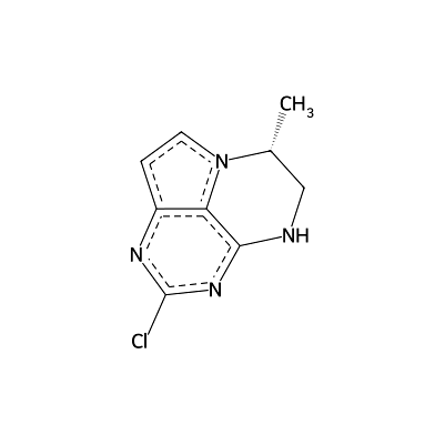 C[C@@H]1CNc2nc(Cl)nc3ccn1c23